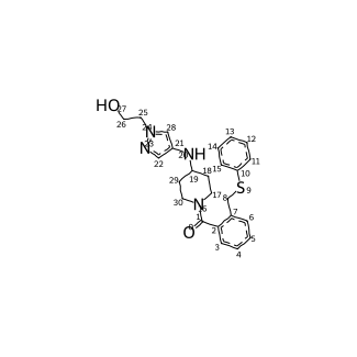 O=C(c1ccccc1CSc1ccccc1)N1CCC(Nc2cnn(CCO)c2)CC1